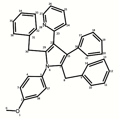 COc1ccc(-n2c(Cc3ccccc3)c(-c3ccccc3)c(-c3ccccn3)c2Cc2ccccc2)cc1